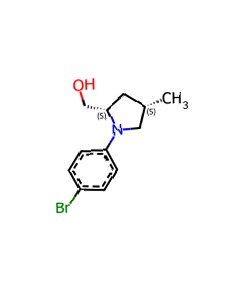 C[C@H]1C[C@@H](CO)N(c2ccc(Br)cc2)C1